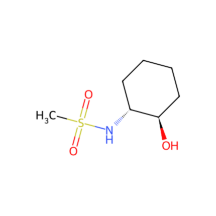 CS(=O)(=O)N[C@@H]1CCCC[C@H]1O